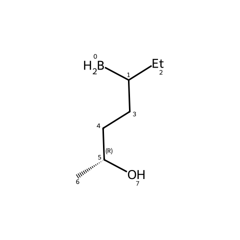 BC(CC)CC[C@@H](C)O